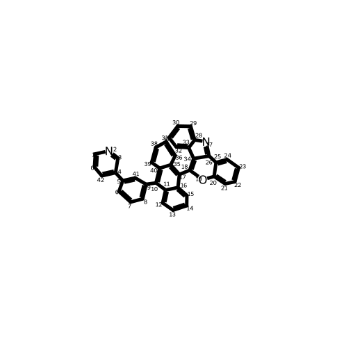 c1cncc(-c2cccc(-c3c4ccccc4c(-c4oc5ccccc5c5nc6ccccc6c4-5)c4ccccc34)c2)c1